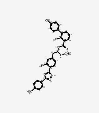 Cc1ccc(-c2nc(-c3ccc(CC(NC(=O)c4cccc(-c5ccc(Cl)cc5)c4F)OC=O)cc3F)no2)cc1